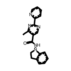 Cc1nc(-c2ccccn2)ncc1C(=O)NN1CCc2ccccc21